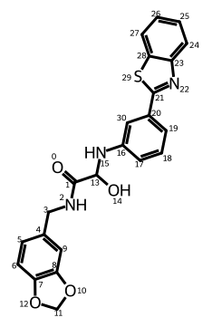 O=C(NCc1ccc2c(c1)OCO2)C(O)Nc1cccc(-c2nc3ccccc3s2)c1